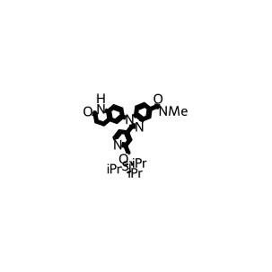 CNC(=O)c1ccc2c(c1)nc(-c1ccnc(CO[Si](C(C)C)(C(C)C)C(C)C)c1)n2-c1ccc2c(c1)CCC(=O)N2